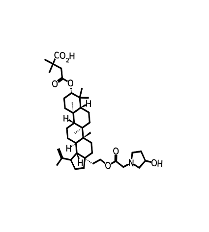 C=C(C)C1CC[C@]2(CCOC(=O)CN3CCC(O)C3)CC[C@]3(C)[C@H](CC[C@@H]4[C@@]5(C)CC[C@H](OC(=O)CC(C)(C)C(=O)O)C(C)(C)[C@@H]5CC[C@]43C)[C@@H]12